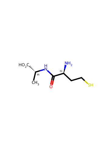 C[C@@H](NC(=O)[C@@H](N)CCS)C(=O)O